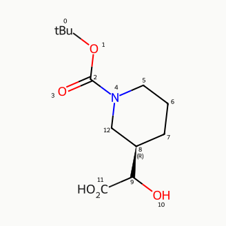 CC(C)(C)OC(=O)N1CCC[C@@H](C(O)C(=O)O)C1